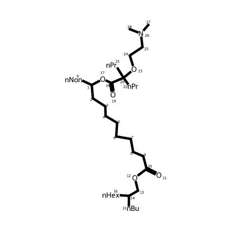 CCCCCCCCCC(CCCCCCCCC(=O)OCC(CCCC)CCCCCC)OC(=O)C(CCC)(CCC)OCCN(C)C